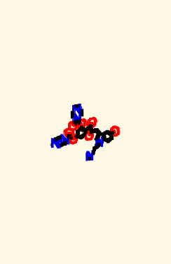 COc1ccc2c(c1)c(/C=C1\Oc3cc(OC(=O)N4CCN(C)CC4)cc(OC(=O)N4CCN(C)CC4)c3C1=O)cn2CCCN(C)C